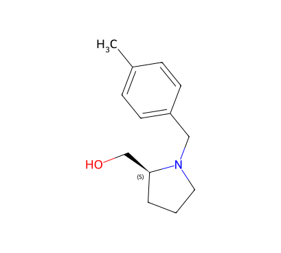 Cc1ccc(CN2CCC[C@H]2CO)cc1